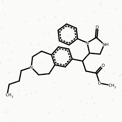 CCCCN1CCc2ccc(C(CC(=O)OC)C3CNC(=O)N3c3ccccc3)cc2CC1